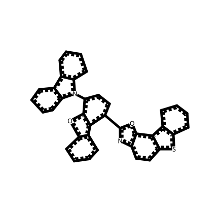 c1ccc2c(c1)oc1c(-n3c4ccccc4c4ccccc43)ccc(-c3nc4ccc5sc6ccccc6c5c4o3)c12